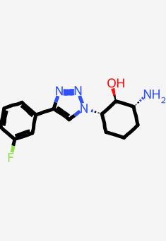 N[C@@H]1CCC[C@H](n2cc(-c3cccc(F)c3)nn2)[C@H]1O